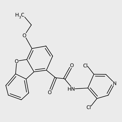 CCOc1ccc(C(=O)C(=O)Nc2c(Cl)cncc2Cl)c2c1oc1ccccc12